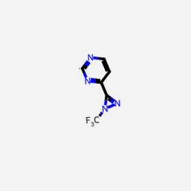 FC(F)(F)N1N=C1c1ccn[c]n1